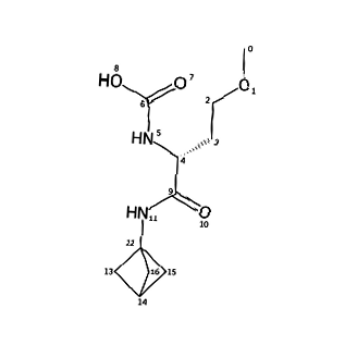 COCC[C@@H](NC(=O)O)C(=O)NC12CC(C1)C2